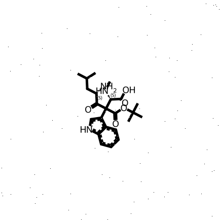 CN[C@H](C(=O)O)C(C(=O)OC(C)(C)C)(C(=O)[C@@H](N)CC(C)C)c1c[nH]c2ccccc12